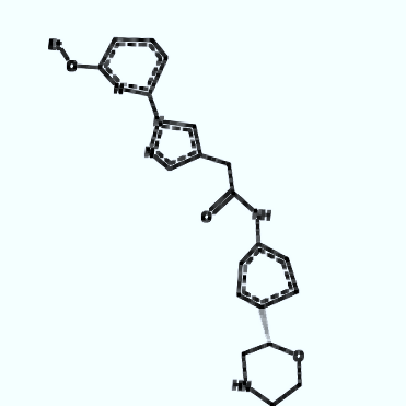 CCOc1cccc(-n2cc(CC(=O)Nc3ccc([C@H]4CNCCO4)cc3)cn2)n1